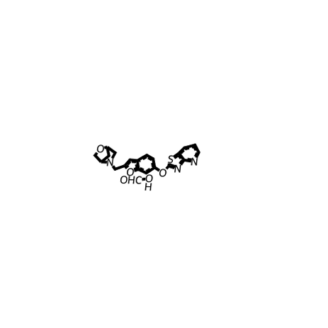 O=CO.c1cnc2nc(Oc3ccc4cc(CN5CC6CC5CO6)oc4c3)sc2c1